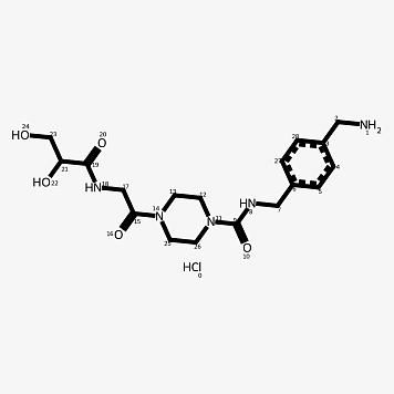 Cl.NCc1ccc(CNC(=O)N2CCN(C(=O)CNC(=O)C(O)CO)CC2)cc1